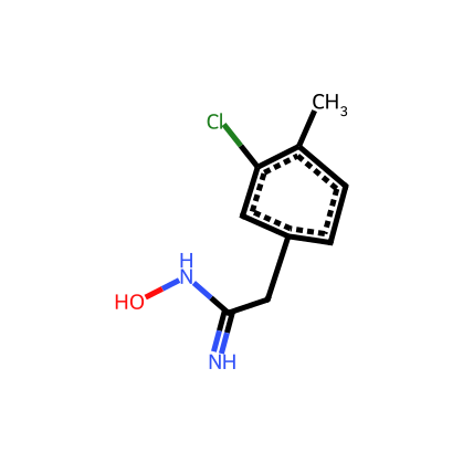 Cc1ccc(CC(=N)NO)cc1Cl